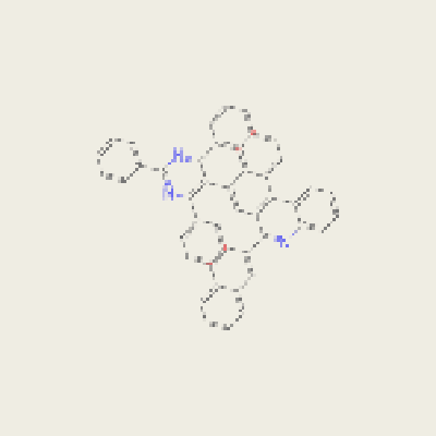 c1ccc(-c2nc(-c3ccccc3)c(-c3cc4c(-c5ccc6ccccc6c5)nc5ccccc5c4c4ccccc34)c(-c3ccccc3)n2)cc1